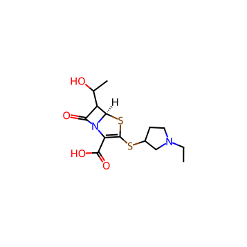 CCN1CCC(SC2=C(C(=O)O)N3C(=O)C(C(C)O)[C@H]3S2)C1